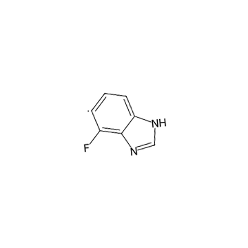 Fc1[c]ccc2[nH]cnc12